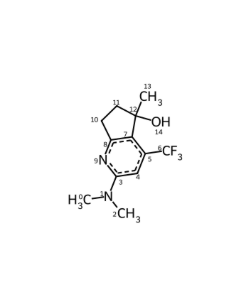 CN(C)c1cc(C(F)(F)F)c2c(n1)CCC2(C)O